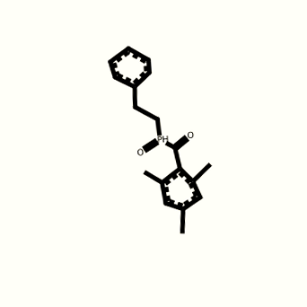 Cc1cc(C)c(C(=O)[PH](=O)CCc2ccccc2)c(C)c1